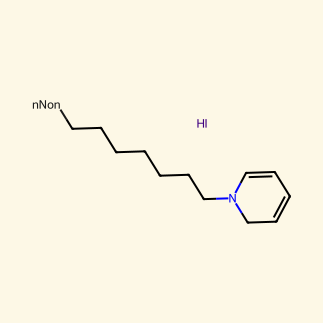 CCCCCCCCCCCCCCCCN1C=CC=CC1.I